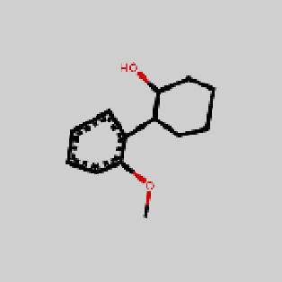 COc1ccccc1C1CCCCC1O